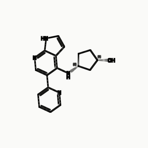 O[C@H]1CC[C@@H](Nc2c(-c3ccccn3)cnc3[nH]ccc23)C1